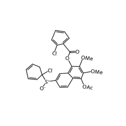 COc1c(OC)c(OC(=O)c2ccccc2Cl)c2cc([S+]([O-])C3(Cl)C=CC=CC3)ccc2c1OC(C)=O